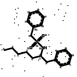 CCCCCN(Cc1ccccc1)NS(=O)(=O)Cc1ccccc1